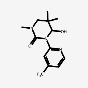 CN1CC(C)(C)C(O)N(c2cc(C(F)(F)F)ccn2)C1=O